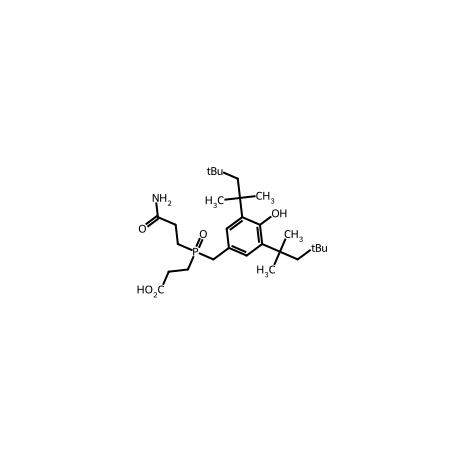 CC(C)(C)CC(C)(C)c1cc(CP(=O)(CCC(N)=O)CCC(=O)O)cc(C(C)(C)CC(C)(C)C)c1O